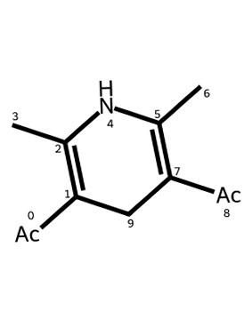 CC(=O)C1=C(C)NC(C)=C(C(C)=O)C1